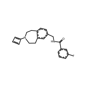 O=C(NCc1ccc2c(c1)CCN(C1=CC=C1)CC2)c1cccc(F)c1